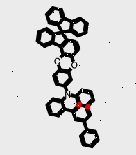 c1c2c(c3c(c#1)C1(c4ccccc4-c4ccccc41)c1ccccc1-3)Oc1ccc(N(c3ccccc3)c3ccccc3-c3cccc(-c4ccccc4)c3)cc1O2